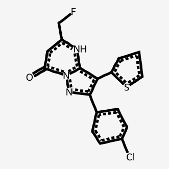 O=c1cc(CF)[nH]c2c(-c3cccs3)c(-c3ccc(Cl)cc3)nn12